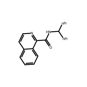 CCCC(CCC)NC(=O)c1nccc2ccccc12